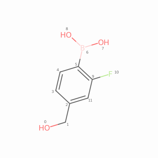 OCc1ccc(B(O)O)c(F)c1